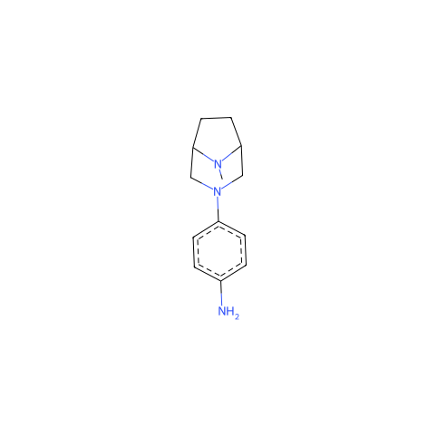 CN1C2CCC1CN(c1ccc(N)cc1)C2